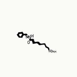 CCCCCCCCCCCCCCCCCC(=O)N/N=C/c1ccccc1